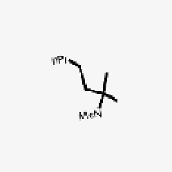 CCCCCC(C)(C)NC